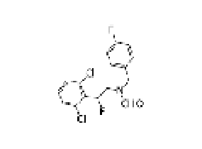 O=CN(Cc1ccc(F)cc1)CC(F)c1c(Cl)cccc1Cl